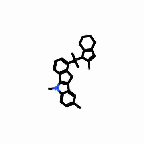 CC1=CC2=C(CCCC2)C1[Si](C)(C)c1cccc2c1Cc1c-2n(C)c2ccc(C)cc12